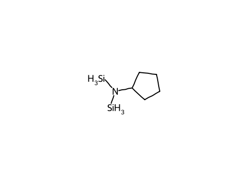 [SiH3]N([SiH3])C1CCCC1